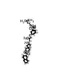 CN(C)CCCNS(=O)(=O)c1cccc(OCC(O)CNC2COC3(CCN(S(=O)(=O)c4ccc5ccccc5c4)CC3)C2)c1